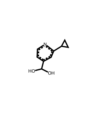 OC(O)c1ccnc(C2CC2)c1